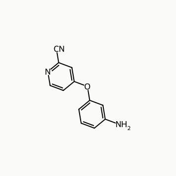 N#Cc1cc(Oc2cccc(N)c2)ccn1